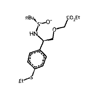 CCCC[S@@+]([O-])N[C@@H](COCC(=O)OCC)c1ccc(SCC)cc1